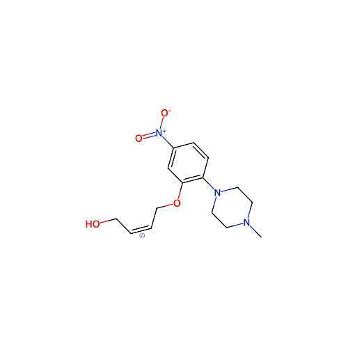 CN1CCN(c2ccc([N+](=O)[O-])cc2OC/C=C\CO)CC1